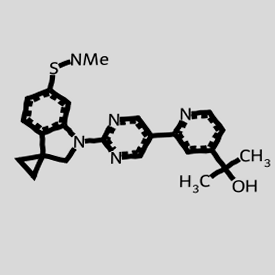 CNSc1ccc2c(c1)N(c1ncc(-c3cc(C(C)(C)O)ccn3)cn1)CC21CC1